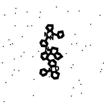 c1ccc(-c2nc(-c3cccc(-n4c5cccc(-c6ccc7c(c6)N(c6ccccc6)c6ccccc6O7)c5c5c6ccccc6ccc54)c3)nc3ccccc23)cc1